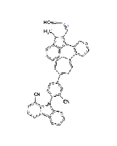 C#C/C=C\c1c(C)c2ccccc2n1-c1ccccc1C1=CC=C(c2ccc(-n3c4ccccc4c4cccc(C#N)c43)c(C#N)c2)C=CC1